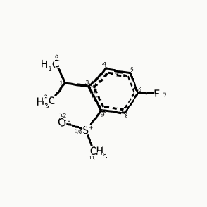 CC(C)c1ccc(F)cc1[S+](C)[O-]